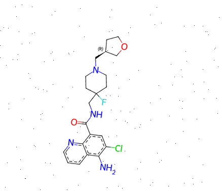 Nc1c(Cl)cc(C(=O)NCC2(F)CCN(C[C@H]3CCOC3)CC2)c2ncccc12